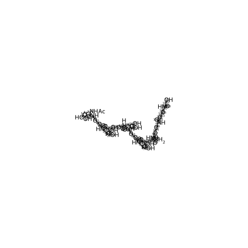 CC(=O)NC(Cc1ccc(O)c(O)c1)C(=O)NCCOCCOCC(=O)NC(Cc1ccc(O)c(O)c1)C(=O)NCCOCCOCC(=O)NC(Cc1ccc(O)c(O)c1)C(=O)NCCOCCOCC(=O)NC(Cc1ccc(O)c(O)c1)C(=O)NCCCC[C@@H](NC(=O)COCCOCCNC(=O)COCCOCCNC(=O)CCO)C(N)=O